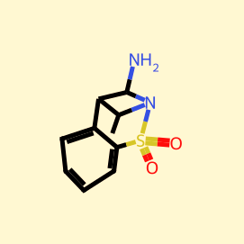 CC1C2c3ccccc3S(=O)(=O)N1C2N